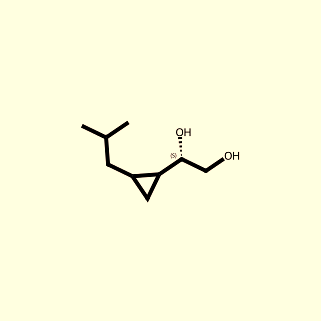 C[C](C)CC1CC1[C@H](O)CO